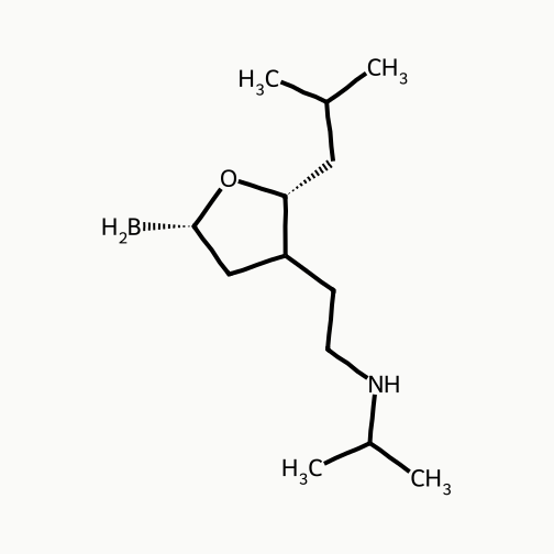 B[C@H]1CC(CCNC(C)C)[C@@H](CC(C)C)O1